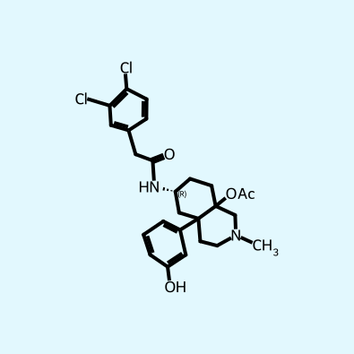 CC(=O)OC12CC[C@@H](NC(=O)Cc3ccc(Cl)c(Cl)c3)CC1(c1cccc(O)c1)CCN(C)C2